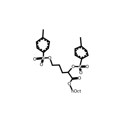 CCCCCCCCOC(=O)C(CCCOS(=O)(=O)c1ccc(C)cc1)OS(=O)(=O)c1ccc(C)cc1